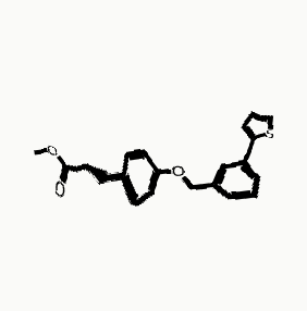 COC(=O)CCc1ccc(OCc2cccc(-c3cccs3)c2)cc1